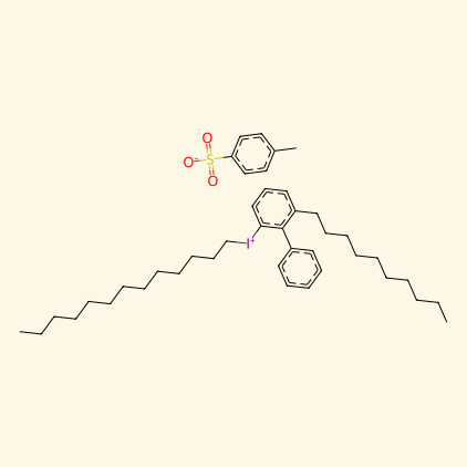 CCCCCCCCCCCCC[I+]c1cccc(CCCCCCCCCC)c1-c1ccccc1.Cc1ccc(S(=O)(=O)[O-])cc1